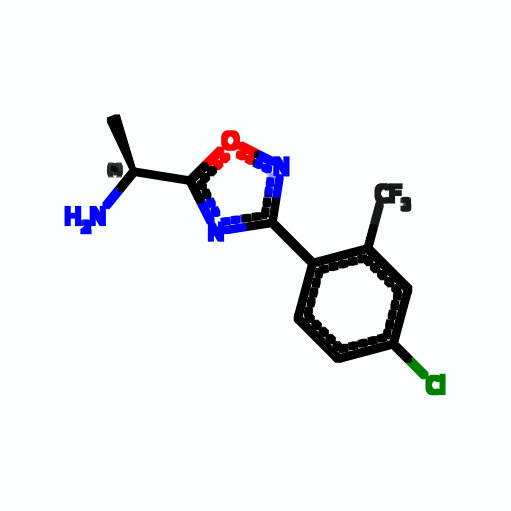 C[C@H](N)c1nc(-c2ccc(Cl)cc2C(F)(F)F)no1